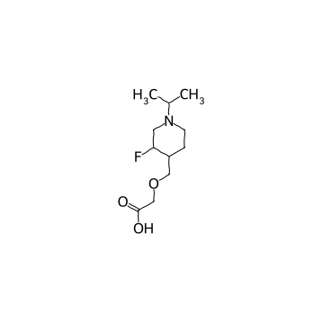 CC(C)N1CCC(COCC(=O)O)C(F)C1